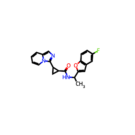 CC(NC(=O)C1CC1c1ncc2ccccn12)c1cc2cc(F)ccc2o1